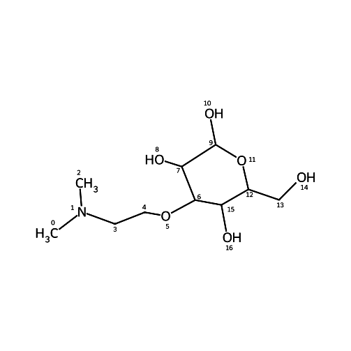 CN(C)CCOC1C(O)C(O)OC(CO)C1O